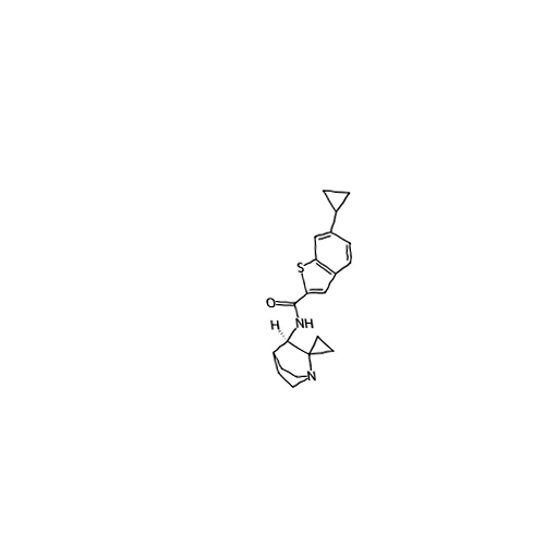 O=C(N[C@@H]1C2CCN(CC2)C12CC2)c1cc2ccc(C3CC3)cc2s1